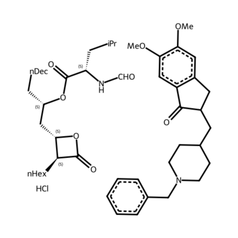 CCCCCCCCCCC[C@@H](C[C@@H]1OC(=O)[C@H]1CCCCCC)OC(=O)[C@H](CC(C)C)NC=O.COc1cc2c(cc1OC)C(=O)C(CC1CCN(Cc3ccccc3)CC1)C2.Cl